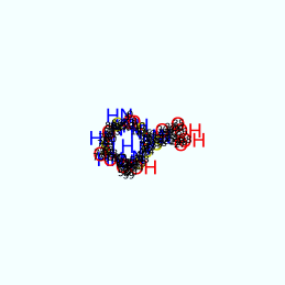 CNC(=O)C[C@@H]1NC(=O)c2csc(n2)-c2ccc(-c3nc(N(CCCCC(=O)O)C(=O)[C@H]4C[C@H](C(=O)O)C4)cs3)nc2-c2csc(n2)-c2csc(n2)[C@H]([C@@H](O)c2ccccc2)NC(=O)CNC(=O)c2nc(sc2COC)C(C(C)C)NC(=O)c2nc1sc2C